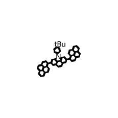 CC(C)(C)c1ccc(-n2c3cc(-c4ccc5ccc6cccc7ccc4c5c67)cc4ccc5cc(-c6ccc7ccc8cccc9ccc6c7c89)cc2c5c43)cc1